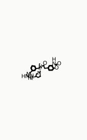 CN(C(=O)Cc1ccc2oc(=O)[nH]c2c1)[C@H](CN1CCC(F)C1)c1cccc(-c2nn[nH]n2)c1